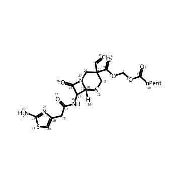 C=CC1(C(=O)OCOC(=O)CCCCC)CS[C@@H]2C(NC(=O)Cc3csc(N)n3)C(=O)N2C1